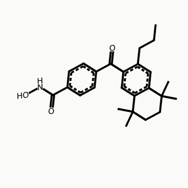 CCCc1cc2c(cc1C(=O)c1ccc(C(=O)NO)cc1)C(C)(C)CCC2(C)C